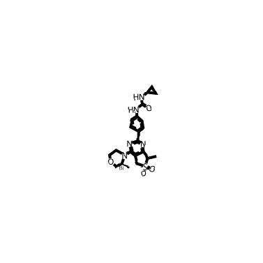 CC1c2nc(-c3ccc(NC(=O)NC4CC4)cc3)nc(N3CCOC[C@@H]3C)c2CS1(=O)=O